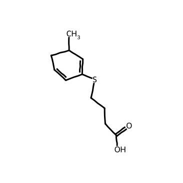 CC1C=C(SCCCC(=O)O)C=CC1